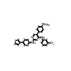 CC(=O)Nc1ccc(-c2cnc(Nc3ccc(-c4ccsc4)cn3)nc2Nc2cccc(C(F)(F)F)c2)cc1